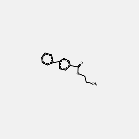 CCC[N]C(=O)c1ccc(-c2ccccc2)cc1